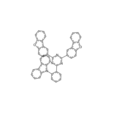 c1ccc(-n2c3ccccc3c3ccccc32)c(-c2nc(-c3ccc4oc5ccccc5c4c3)nc(-c3ccc4oc5ccccc5c4c3)n2)c1